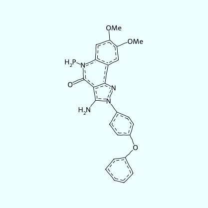 COc1cc2c3nn(-c4ccc(Oc5ccccc5)cc4)c(N)c3c(=O)n(P)c2cc1OC